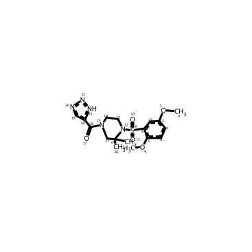 COc1ccc(OC)c(S(=O)(=O)N2CCN(C(=O)c3cnn[nH]3)CC2(C)C)c1